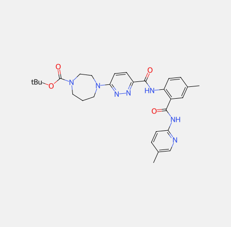 Cc1ccc(NC(=O)c2cc(C)ccc2NC(=O)c2ccc(N3CCCN(C(=O)OC(C)(C)C)CC3)nn2)nc1